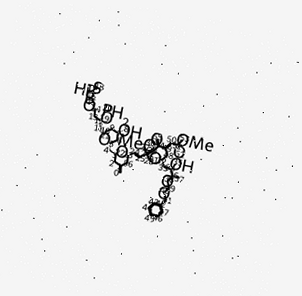 C=C1C[C@@H](C[C@H]2C[C@@H](O)C[C@@H](C[C@H](CCOB=[PH]=S)OP)O2)O[C@@H](/C=C/C(C)(C)[C@]2(OC)O[C@H](C[C@@H](O)[C@@H](C)OCOCc3ccccc3)C/C(=C\C(=O)OC)C2=O)C1